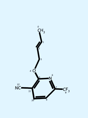 CC=CCOc1nc(C(F)(F)F)ccc1C#N